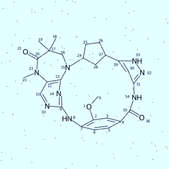 COc1cc2ccc1Nc1ncc3c(n1)N(CC(C)(C)C(=O)N3C)C1CCC(C1)c1cc(n[nH]1)NC2=O